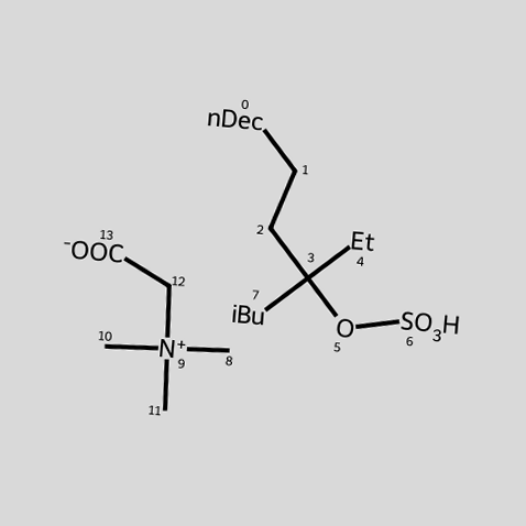 CCCCCCCCCCCCC(CC)(OS(=O)(=O)O)C(C)CC.C[N+](C)(C)CC(=O)[O-]